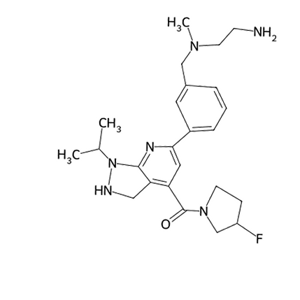 CC(C)N1NCc2c(C(=O)N3CCC(F)C3)cc(-c3cccc(CN(C)CCN)c3)nc21